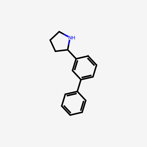 [c]1ccc(-c2ccccc2)cc1C1CCCN1